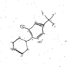 Cl.FC(F)(F)c1ccc(C2CCNCC2)c(Cl)c1